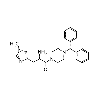 Cn1cnc(CC(N)C(=O)N2CCN(C(c3ccccc3)c3ccccc3)CC2)c1